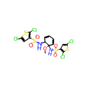 COC1(NS(=O)(=O)c2cc(Cl)sc2Cl)C=CC=CC1NS(=O)(=O)c1cc(Cl)sc1Cl